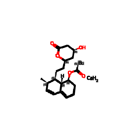 CC[C@H](C)C(=O)O[C@H]1CCC=C2C=C[C@H](C)[C@H](CC[C@@H]3C[C@@H](O)CC(=O)O3)[C@H]21.[CaH2]